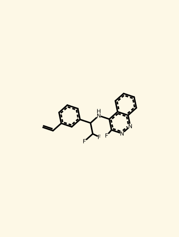 C=Cc1cccc(C(Nc2c(F)nnc3ccccc23)C(F)F)c1